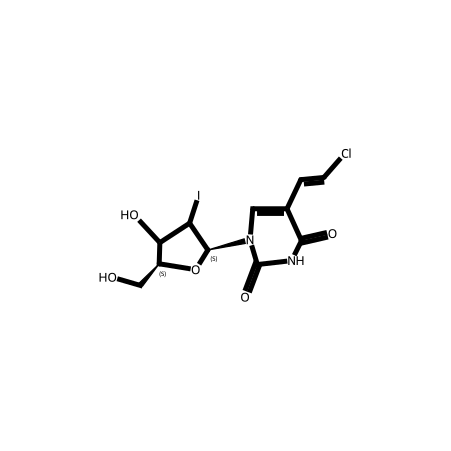 O=c1[nH]c(=O)n([C@H]2O[C@@H](CO)C(O)C2I)cc1C=CCl